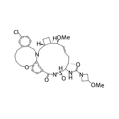 COC1CN(C(=O)NC2[C@@H](C)C/C=C/[C@H](OC)[C@@H]3CC[C@H]3CN3Cc4ccc(Cl)cc4CCCCOc4ccc(cc43)C(=O)/N=[SH]\2=O)C1